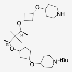 C[C@H](OC1CCC(OC2CCN(C(C)(C)C)CC2)C1)C(C)(C)[C@H](C)O[C@H]1C[C@@H](OC2CCNCC2)C1